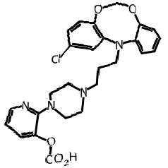 O=C(O)Oc1cccnc1N1CCN(CCCN2c3ccccc3OCOc3ccc(Cl)cc32)CC1